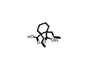 C=CCC1(C(=O)O)CCCCC1(CC=C)C(=O)O